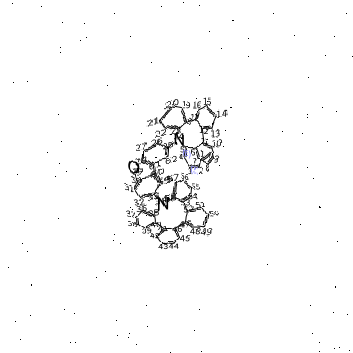 C=C/C=C\C=C1/c2ccccc2-c2ccccc2-c2ccccc2N1c1ccc2oc3ccc(-n4c5ccccc5c5ccccc5c5ccccc5c5ccccc54)cc3c2c1